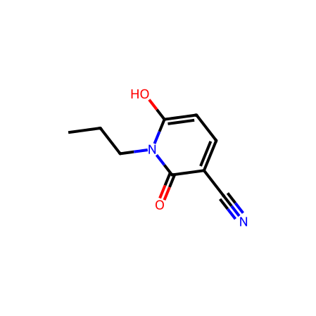 CCCn1c(O)ccc(C#N)c1=O